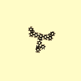 c1ccc(-n2c(-c3ccc(-c4nc5c(-c6ccc(-c7cccc8c7oc7ccccc78)cc6)ccc(-c6ccc(-c7cccc8c7oc7ccccc78)cc6)c5s4)cc3)nc3ccccc32)cc1